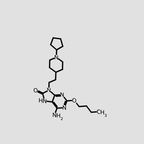 CCCCOc1nc(N)c2[nH]c(=O)n(CCC3CCN(C4CCCC4)CC3)c2n1